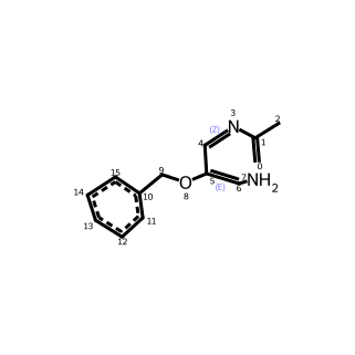 C=C(C)/N=C\C(=C/N)OCc1ccccc1